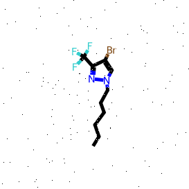 CCCCCCn1cc(Br)c(C(F)(F)F)n1